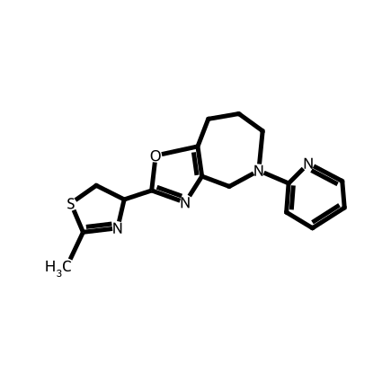 CC1=NC(c2nc3c(o2)CCCN(c2ccccn2)C3)CS1